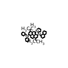 CC(C)C1=CC(N(c2ccccn2)c2cccc3ccccc23)C2=CCc3c(C(C)C)cc(N(c4ccccc4)c4ccccc4)c4ccc1c2c34